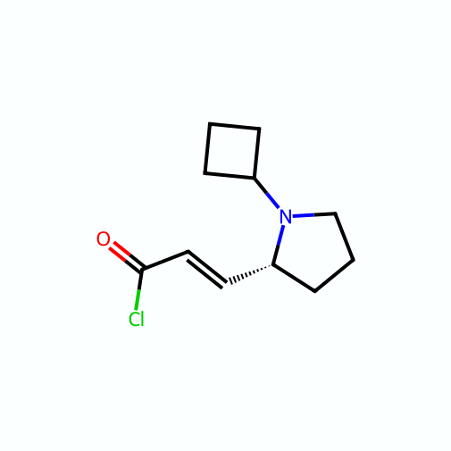 O=C(Cl)/C=C/[C@H]1CCCN1C1CCC1